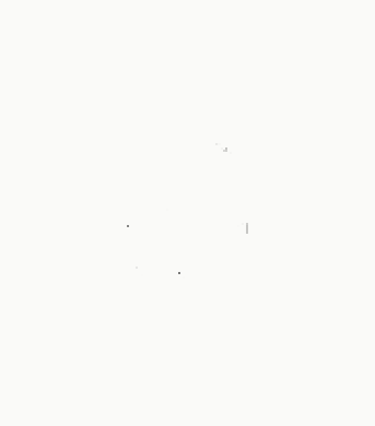 CC(C)(C)Cc1nn[nH]c1Cl